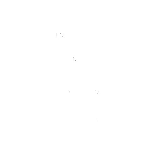 Nc1cccc(-c2nc(S)co2)n1